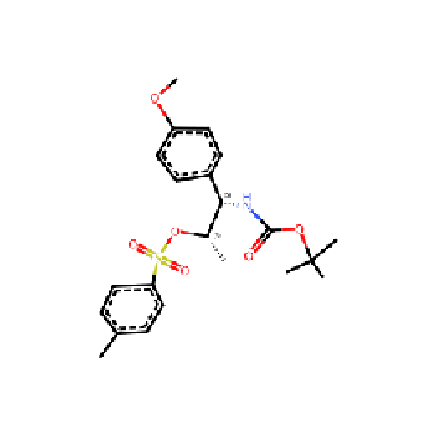 COc1ccc([C@H](NC(=O)OC(C)(C)C)[C@H](C)OS(=O)(=O)c2ccc(C)cc2)cc1